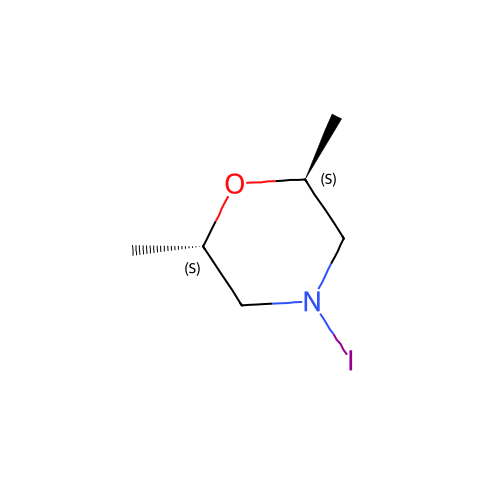 C[C@H]1CN(I)C[C@H](C)O1